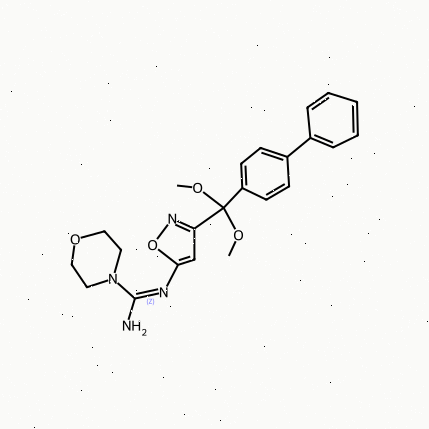 COC(OC)(c1ccc(-c2ccccc2)cc1)c1cc(/N=C(/N)N2CCOCC2)on1